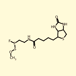 COSP(F)CCNC(=O)CCCCC1SCC2NC(=O)NC21